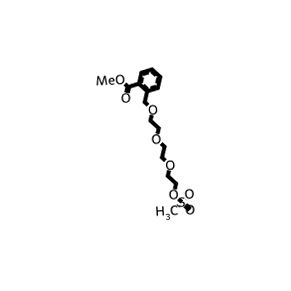 COC(=O)c1ccccc1COCCOCCOCCOS(C)(=O)=O